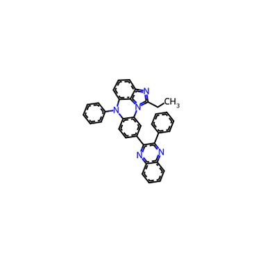 CCc1nc2cccc3c2n1-c1cc(-c2nc4ccccc4nc2-c2ccccc2)ccc1N3c1ccccc1